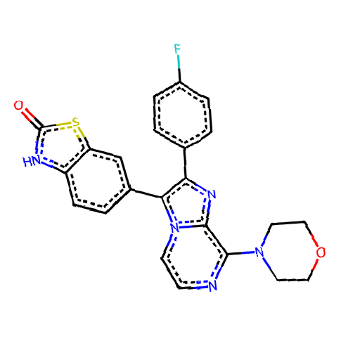 O=c1[nH]c2ccc(-c3c(-c4ccc(F)cc4)nc4c(N5CCOCC5)nccn34)cc2s1